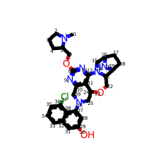 CN1CCCC1COc1nc2c3c(n1)N1CC4CCC(N4)C1COC3CN(c1cc(O)cc3cccc(Cl)c13)C2